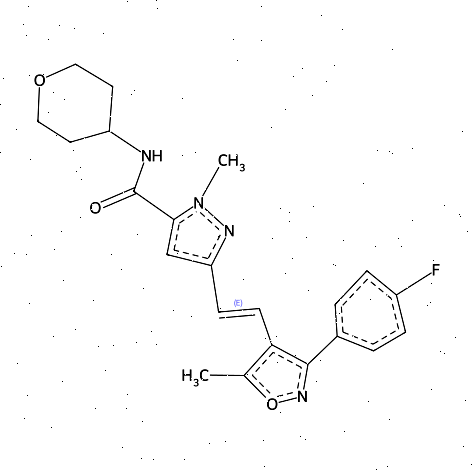 Cc1onc(-c2ccc(F)cc2)c1/C=C/c1cc(C(=O)NC2CCOCC2)n(C)n1